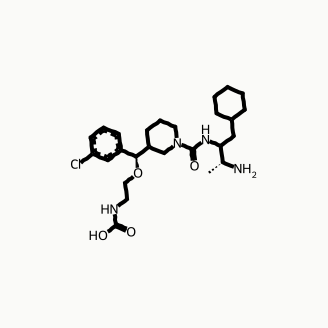 C[C@@H](N)C(CC1CCCCC1)NC(=O)N1CCCC([C@@H](OCCNC(=O)O)c2cccc(Cl)c2)C1